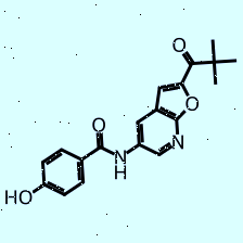 CC(C)(C)C(=O)c1cc2cc(NC(=O)c3ccc(O)cc3)cnc2o1